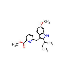 CCC(C)c1[nH]c2cc(OC)ccc2c1Cc1cccc(C(=O)OC)n1